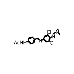 CC(=O)Nc1ccc(/C=N/c2cc(Cl)c(/N=C/N(C)C)c(Cl)c2)cc1